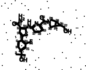 CC(C)(O)c1ccc(-c2cc(C(N)=O)c(Nc3cccc(C(=O)N4CC5C(CO)C5C4)n3)s2)c(F)c1